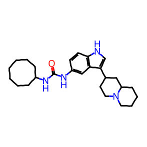 O=C(Nc1ccc2[nH]cc(C3CCN4CCCCC4C3)c2c1)NC1CCCCCCC1